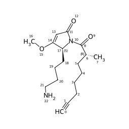 C#CCCCC[C@@H](C)C(=O)N1C(=O)C=C(OC)[C@@H]1CCCCN